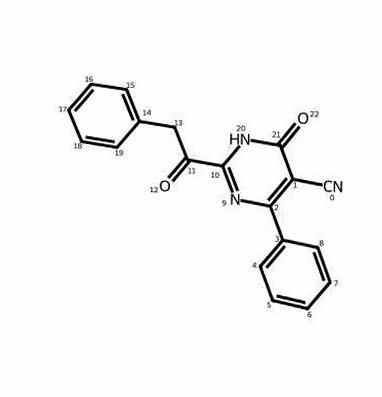 N#Cc1c(-c2ccccc2)nc(C(=O)Cc2ccccc2)[nH]c1=O